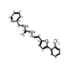 FC(F)(F)c1ccccc1-c1ccc(/C=N/NC(=S)NCc2ccccn2)o1